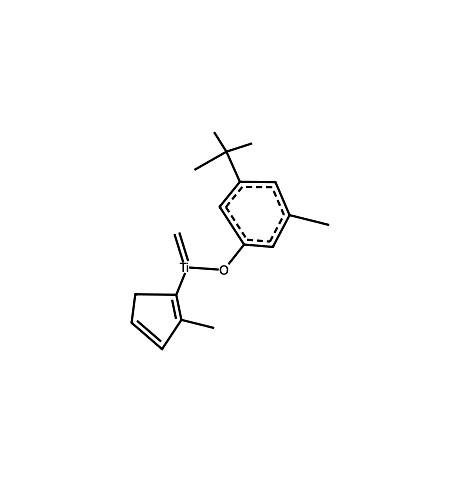 [CH2]=[Ti]([O]c1cc(C)cc(C(C)(C)C)c1)[C]1=C(C)C=CC1